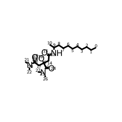 CCCCCCCCCC(C)NC(=O)CC(O)(CC(=O)N(C)C)C(=O)N(C)C